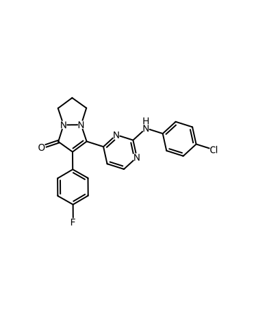 O=c1c(-c2ccc(F)cc2)c(-c2ccnc(Nc3ccc(Cl)cc3)n2)n2n1CCC2